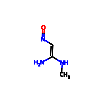 CN/C(N)=C/N=O